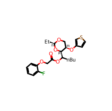 CCCCC(OC(=O)COc1ccccc1F)[C@H]1O[C@@H](CC)OC[C@H]1Oc1ccsc1